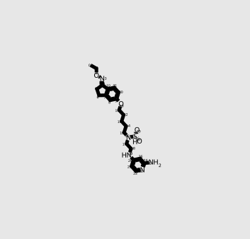 CCO/N=C1\CCc2cc(OCCCCCN(CCNc3ccnc(N)c3)[SH](=O)=O)ccc21